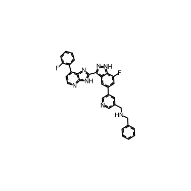 Fc1ccccc1-c1ccnc2[nH]c(-c3n[nH]c4c(F)cc(-c5cncc(CNCc6ccccc6)c5)cc34)nc12